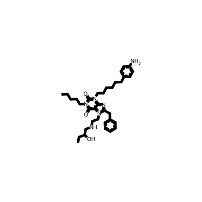 CCCCCn1c(=O)c2c(nc(Cc3ccccc3)n2CCNCC(O)CC)n(CCCCCCc2ccc(N)cc2)c1=O